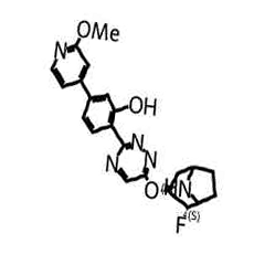 COc1cc(-c2ccc(-c3ncc(O[C@@H]4CC5CCC(N5)[C@@H]4F)nn3)c(O)c2)ccn1